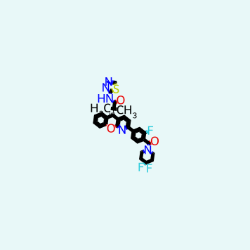 CC(C)(C(=O)Nc1nncs1)[C@H]1c2ccccc2Oc2nc(-c3ccc(C(=O)N4CCC(F)(F)CC4)c(F)c3)ccc21